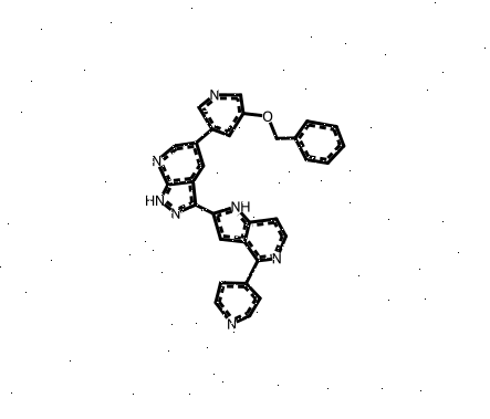 c1ccc(COc2cncc(-c3cnc4[nH]nc(-c5cc6c(-c7ccncc7)nccc6[nH]5)c4c3)c2)cc1